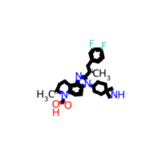 C[C@@H](Cc1ccc(F)c(F)c1)c1nc2c3c(ccc2n1C1CCC2(CC1)CNC2)N(C(=O)O)[C@@H](C)CC3